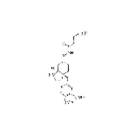 COc1ccc(C[C@@]23CCN[C@H]2CC(=NNC(=O)CCC(=O)O)CC3)cc1OC